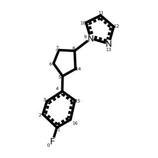 Fc1ccc(C2C[CH]C(n3cccn3)C2)cc1